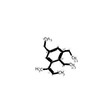 C/C=C(/C)c1cc(CC)cc(CC)c1CC